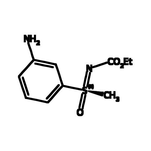 CCOC(=O)N=[S@](C)(=O)c1cccc(N)c1